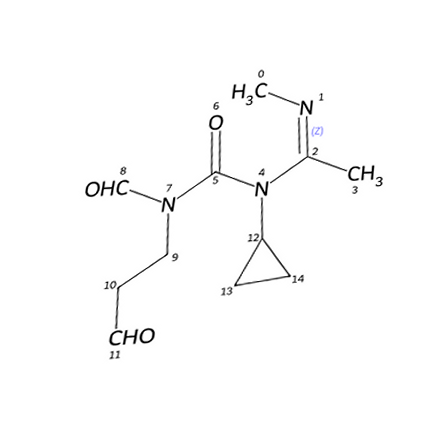 C/N=C(/C)N(C(=O)N(C=O)CCC=O)C1CC1